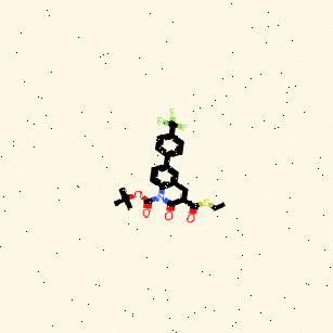 CCSC(=O)C1Cc2cc(-c3ccc(C(F)(F)F)cc3)ccc2N(C(=O)OC(C)(C)C)C1=O